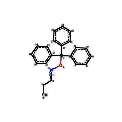 N#CC/C=N/O[Si](c1ccccc1)(c1ccccc1)c1ccccc1